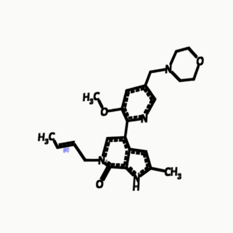 C/C=C/Cn1cc(-c2ncc(CN3CCOCC3)cc2OC)c2cc(C)[nH]c2c1=O